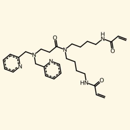 C=CC(=O)NCCCCN(CCCCNC(=O)C=C)C(=O)CCN(Cc1ccccn1)Cc1ccccn1